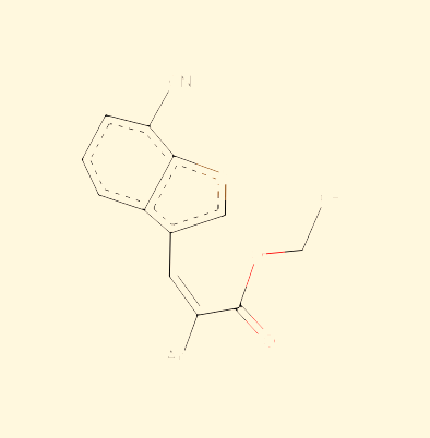 CC(=O)C(=Cc1csc2c(C#N)cccc12)C(=O)OCC(F)(F)F